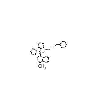 Cc1ccc([Si](CCCCCCc2ccccc2)(c2ccccc2)c2ccccc2)c2ccccc12